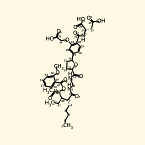 CCCCC[C@@H](C(=O)NCNC(=O)C1CCC(c2ccc(C(=O)N[C@@H](CC(=O)O)C(=O)O)c(OCC(=O)O)c2)O1)[C@@H](CC)N(C=O)OC(=O)c1c(C)cccc1OC